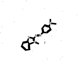 CN(C)c1ccc(N=Nc2sc3ccccc3[n+]2C)cc1.[I-]